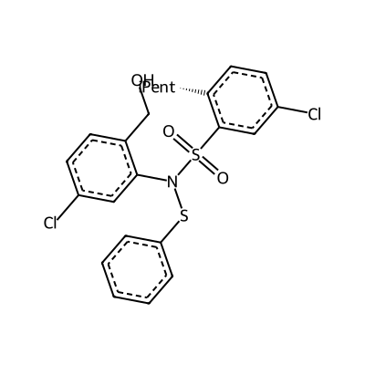 CCC[C@@H](C)c1ccc(Cl)cc1S(=O)(=O)N(Sc1ccccc1)c1cc(Cl)ccc1CO